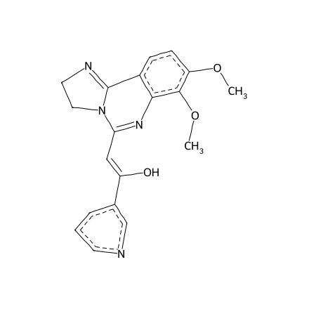 COc1ccc2c(c1OC)N=C(C=C(O)c1cccnc1)N1CCN=C21